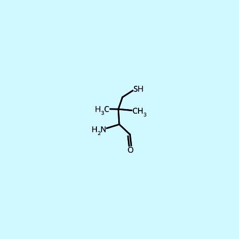 CC(C)(CS)C(N)C=O